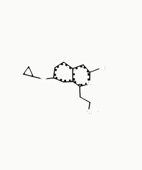 CC(=O)NCCc1nc(C)cc2ccc(OC3CC3)cc12